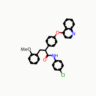 COc1ccccc1CC(C(=O)Nc1ccc(Cl)cc1)c1ccc(Oc2ccnc3ccccc23)cc1